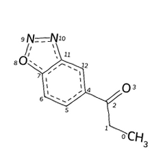 CCC(=O)c1ccc2onnc2c1